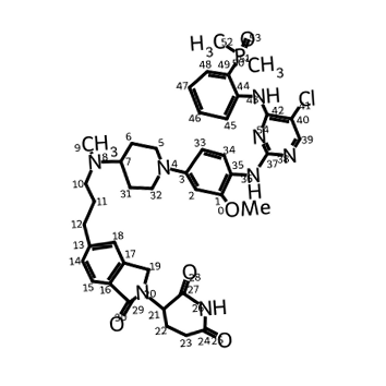 COc1cc(N2CCC(N(C)CCCc3ccc4c(c3)CN(C3CCC(=O)NC3=O)C4=O)CC2)ccc1Nc1ncc(Cl)c(Nc2ccccc2P(C)(C)=O)n1